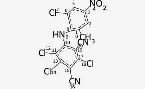 Cc1cc([N+](=O)[O-])cc(Cl)c1Nc1c(Cl)c(Cl)c(C#N)c(Cl)c1C#N